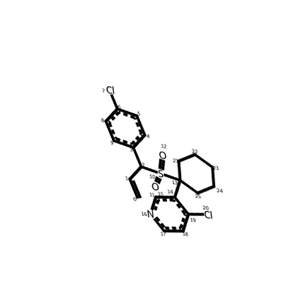 C=CC(c1ccc(Cl)cc1)S(=O)(=O)C1(c2cnccc2Cl)CCCCC1